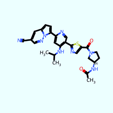 CC(=O)N[C@@H]1CCN(C(=O)c2cnc(-c3cnc(-c4ccc5cc(C#N)cnn45)cc3NC(C)C)s2)C1